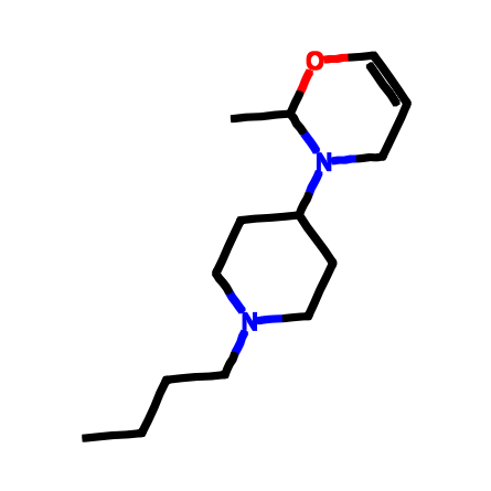 CCCCN1CCC(N2CC=COC2C)CC1